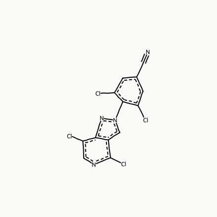 N#Cc1cc(Cl)c(-n2cc3c(Cl)ncc(Cl)c3n2)c(Cl)c1